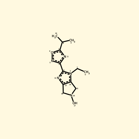 CCn1c(-c2noc(C(C)C)n2)nc2c1CN(O)C2